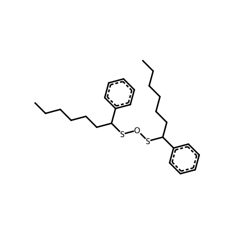 CCCCCCC(SOSC(CCCCCC)c1ccccc1)c1ccccc1